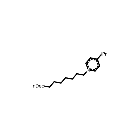 CCCCCCCCCCCCCCCCC[n+]1ccc(C(C)C)cc1